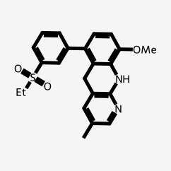 CCS(=O)(=O)c1cccc(-c2ccc(OC)c3c2Cc2cc(C)cnc2N3)c1